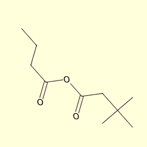 CCCC(=O)OC(=O)CC(C)(C)C